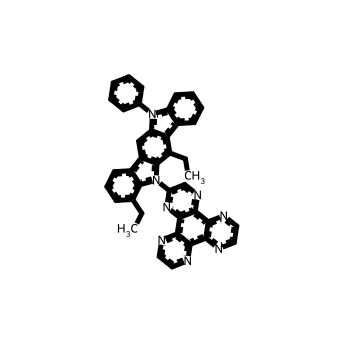 CCc1cccc2c3cc4c(c(CC)c3n(-c3cnc5c6nccnc6c6nccnc6c5n3)c12)c1ccccc1n4-c1ccccc1